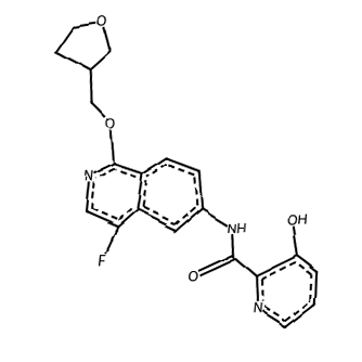 O=C(Nc1ccc2c(OCC3CCOC3)ncc(F)c2c1)c1ncccc1O